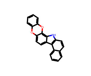 c1ccc2c(c1)Oc1ccc3c([nH]c4ccc5ccccc5c43)c1O2